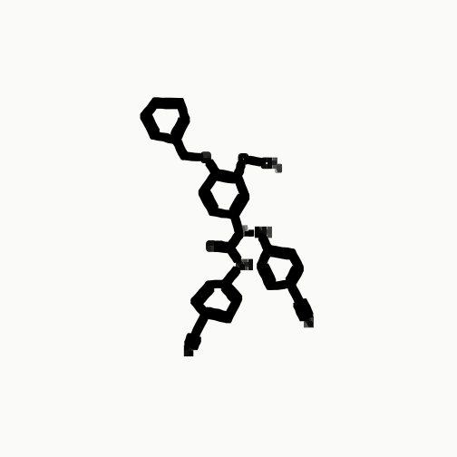 COc1cc([C@H](Nc2ccc(C#N)cc2)C(=O)Nc2ccc(C#N)cc2)ccc1OCc1ccccc1